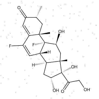 C[C@@H]1C[C@@]2(C)C(=CC1=O)C(F)=C[C@H]1[C@@H]3C[C@@H](O)[C@](O)(C(=O)CO)[C@@]3(C)C[C@H](O)[C@@]12F